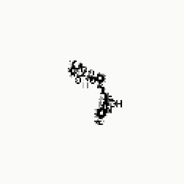 CC[C@@H]1CCN(C(=O)CNC(=O)OC2CCC[C@H]2CCCCC(F)(F)c2nc3ccc(OC)cc3nc2O)[C@@H]1C(C)=O